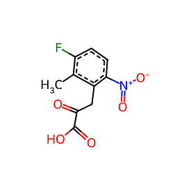 Cc1c(F)ccc([N+](=O)[O-])c1CC(=O)C(=O)O